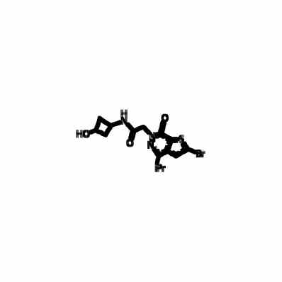 CC(C)c1nn(CC(=O)NC2CC(O)C2)c(=O)c2sc(Br)cc12